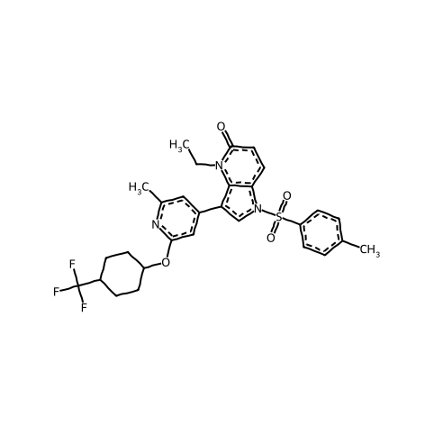 CCn1c(=O)ccc2c1c(-c1cc(C)nc(OC3CCC(C(F)(F)F)CC3)c1)cn2S(=O)(=O)c1ccc(C)cc1